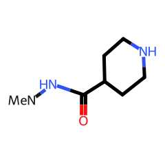 CNNC(=O)C1CCNCC1